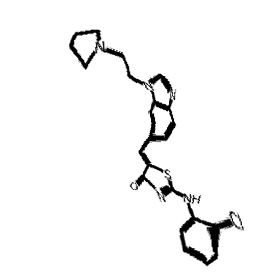 O=C1N=C(Nc2ccccc2Cl)S/C1=C\c1ccc2ncn(CCN3CCCC3)c2c1